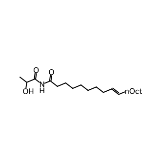 CCCCCCCCC=CCCCCCCCC(=O)NC(=O)C(C)O